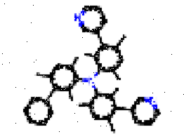 Cc1cc(C)c(N(c2c(C)cc(C)c(-c3cccnc3)c2C)c2c(C)cc(C)c(-c3cccnc3)c2C)c(C)c1-c1ccccc1